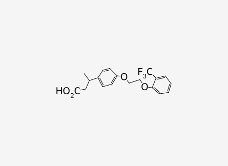 CC(CC(=O)O)c1ccc(OCCOc2ccccc2C(F)(F)F)cc1